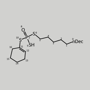 CCCCCCCCCCCCCCCSP(=O)(S)SC1=CCCCC1